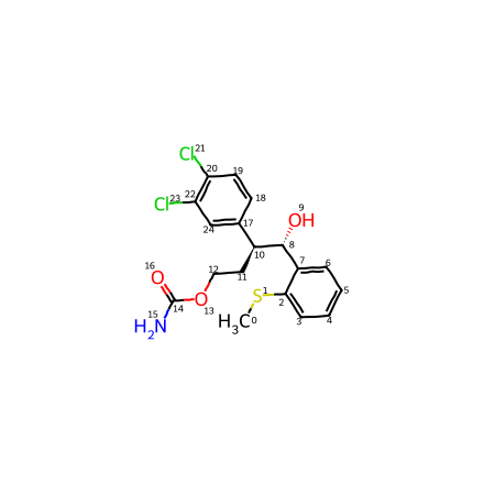 CSc1ccccc1[C@@H](O)[C@@H](CCOC(N)=O)c1ccc(Cl)c(Cl)c1